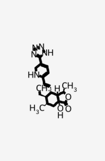 CC[C@H]1[C@H](/C=C/C2=CC=C(c3nnn[nH]3)CN2)[C@@H]2[C@@H](C)OC(=O)[C@]2(O)C[C@@H]1C